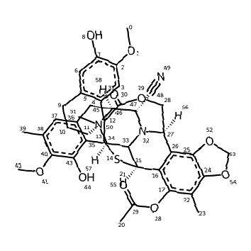 COc1cc2c(cc1O)CCC[C@]21CS[C@@H]2c3c(OC(C)=O)c(C)c4c(c3[C@H](COC1=O)N1C2[C@H]2c3c(cc(C)c(OC)c3O)C[C@@H]([C@@H]1C#N)N2C)OCO4